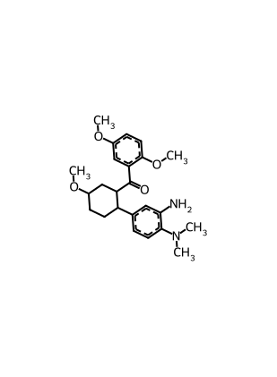 COc1ccc(OC)c(C(=O)C2CC(OC)CCC2c2ccc(N(C)C)c(N)c2)c1